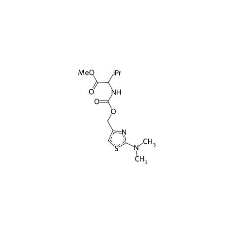 COC(=O)C(NC(=O)OCc1csc(N(C)C)n1)C(C)C